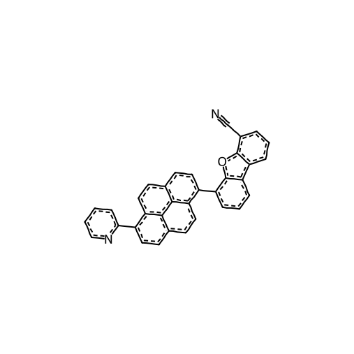 N#Cc1cccc2c1oc1c(-c3ccc4ccc5c(-c6ccccn6)ccc6ccc3c4c65)cccc12